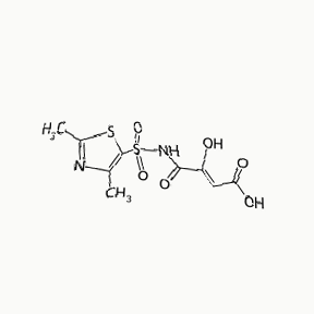 Cc1nc(C)c(S(=O)(=O)NC(=O)/C(O)=C/C(=O)O)s1